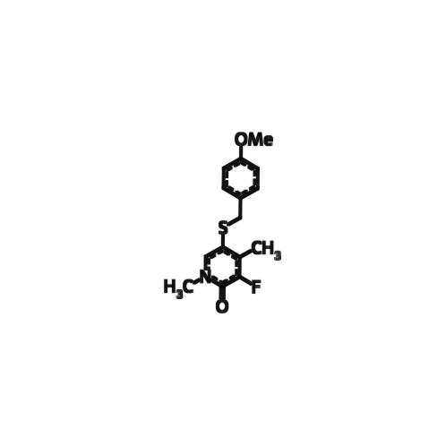 COc1ccc(CSc2cn(C)c(=O)c(F)c2C)cc1